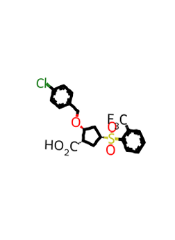 O=C(O)[C@H]1C[C@H](S(=O)(=O)c2ccccc2C(F)(F)F)C[C@@H]1OCc1ccc(Cl)cc1